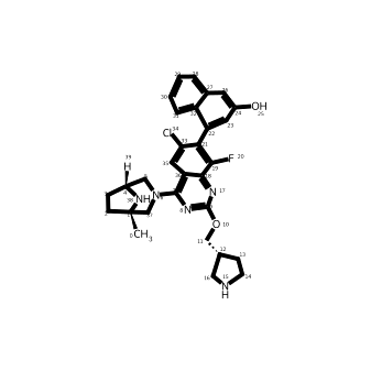 C[C@]12CC[C@H](CN(c3nc(OC[C@@H]4CCNC4)nc4c(F)c(-c5cc(O)cc6ccccc56)c(Cl)cc34)C1)N2